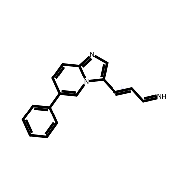 N=C/C=C/c1cnc2ccc(-c3ccccc3)cn12